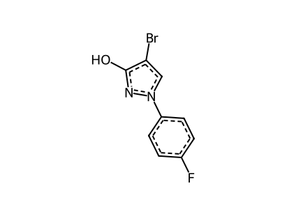 Oc1nn(-c2ccc(F)cc2)cc1Br